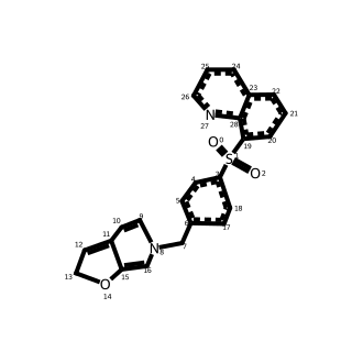 O=S(=O)(c1ccc(CN2C=CC3=CCOC3=C2)cc1)c1cccc2cccnc12